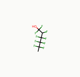 CC(F)(F)C(F)(F)C(F)(F)C(F)C(O)(F)F